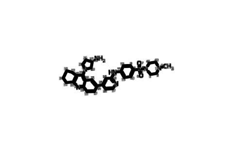 CN1CCN(S(=O)(=O)c2ccc(Nc3cc(-c4ccc5nc6c(c(N7CC[C@H](N)C7)c5c4)CCCC6)ccn3)cc2)CC1